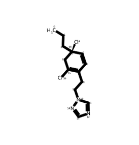 CCC[C@]1(Cl)C=CC(CCn2cncn2)=C(Cl)C1